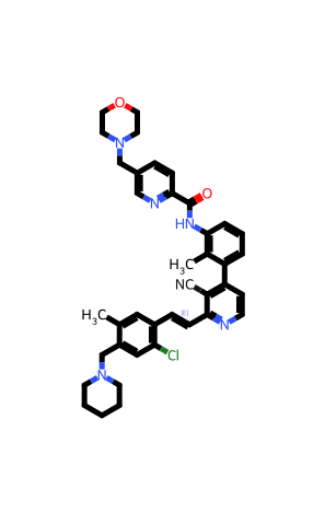 Cc1cc(/C=C/c2nccc(-c3cccc(NC(=O)c4ccc(CN5CCOCC5)cn4)c3C)c2C#N)c(Cl)cc1CN1CCCCC1